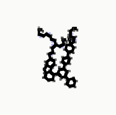 C/C=C\C=C/C=C/C(/C=C\C)=C/C=C/c1ccc2c(c1)oc1cccc(-c3nc(-c4ccccc4)nc(-c4ccc(C5=CCC(C)(/C=C\C=C/C)CC5)cc4)n3)c12